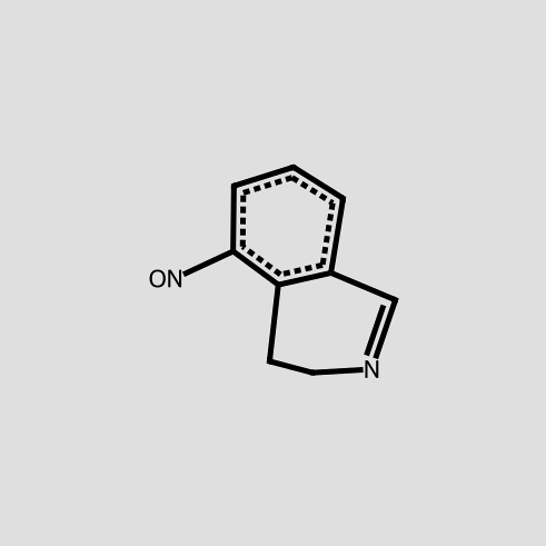 O=Nc1cccc2c1CCN=C2